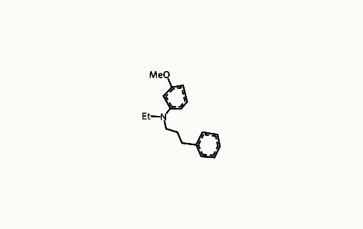 CCN(CCCc1ccccc1)c1cccc(OC)c1